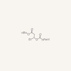 CCCCCC(=O)OC(CC)CC(=O)OCCCC